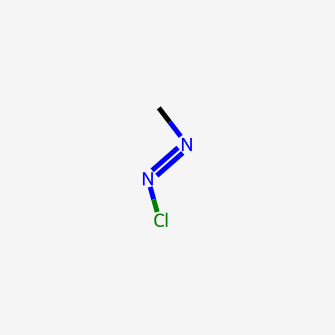 CN=NCl